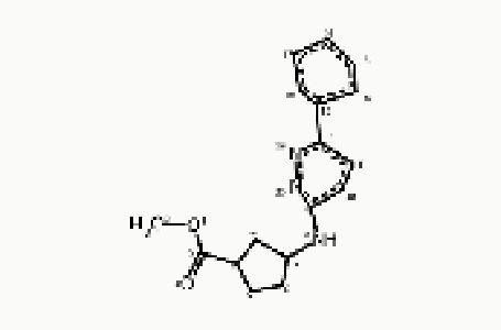 COC(=O)C1CCC(Nc2ccc(-c3ccccc3)nn2)C1